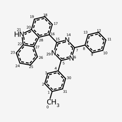 Cc1ccc(-c2nc(-c3ccccc3)nc(-c3cccc4[nH]c5ccccc5c34)n2)cc1